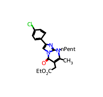 CCCCCn1c(C)c(CC(=O)OCC)c(=O)n2cc(-c3ccc(Cl)cc3)nc12